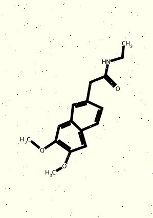 CCNC(=O)Cc1ccc2cc(OC)c(OC)cc2c1